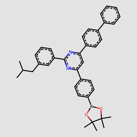 CC(C)Cc1cccc(-c2nc(-c3ccc(B4OC(C)(C)C(C)(C)O4)cc3)cc(-c3ccc(-c4ccccc4)cc3)n2)c1